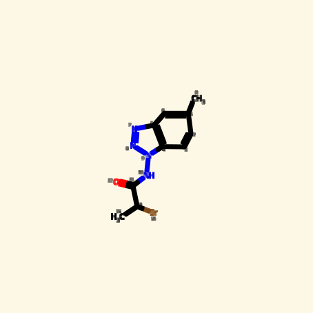 Cc1ccc2c(c1)nnn2NC(=O)C(C)Br